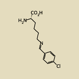 N[C@@H](CCCCN=Cc1ccc(Cl)cc1)C(=O)O